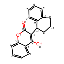 O=c1oc2ccccc2c(O)c1C1CCCc2ccccc21